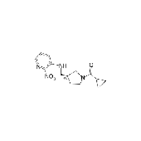 O=C(C1CC1)N1CC[C@@H](CNc2cccnc2[N+](=O)[O-])C1